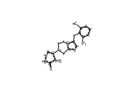 N#Cc1cccc(C(F)(F)F)c1Cc1cnc2n1CCN(c1cn[nH]c(=O)c1Cl)C2